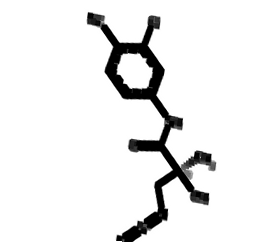 C[C@](O)(CN=[N+]=[N-])C(=O)Nc1ccc(C#N)c(Cl)c1